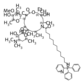 CC[C@H]1OC(=O)[C@H](C)[C@@H](C2C[C@@](C)(OC)[C@@H](O)[C@H](C)O2)C[C@@H](O[C@@H]2O[C@H](C)C[C@H](N(C)C)[C@H]2O)[C@](C)(O)C[C@@H](C)CN(C(=O)CCCCCCCCCCCC[PH](c2ccccc2)(c2ccccc2)c2ccccn2)[C@H](C)C[C@]1(C)O